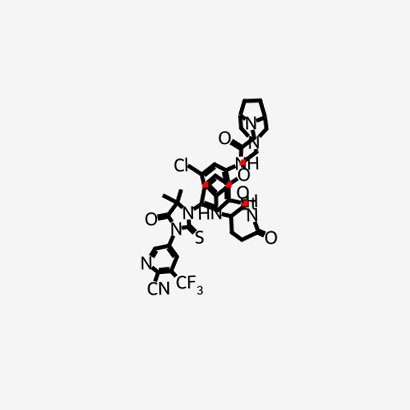 CCc1cc(N2C(=S)N(c3cnc(C#N)c(C(F)(F)F)c3)C(=O)C2(C)C)ccc1OCCN1CC2CCC(C1)N2CC(=O)Nc1cc(Cl)cc(NC2CCC(=O)NC2=O)c1